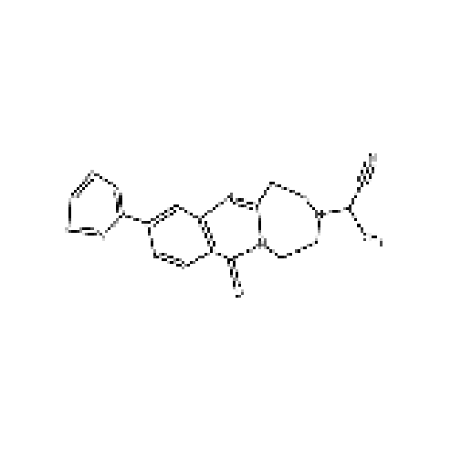 CC(C#N)N1CCc2nc3cc(-c4ccccn4)ccc3c(=O)n2CC1